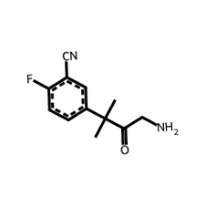 CC(C)(C(=O)CN)c1ccc(F)c(C#N)c1